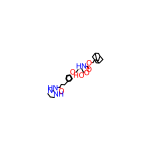 O=C(CCc1ccc(OCC[C@H](NC(=O)OCC23CC4CC(CC(C4)C2)C3)C(=O)O)cc1)NC1=NCCCN1